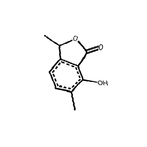 Cc1ccc2c(c1O)C(=O)OC2C